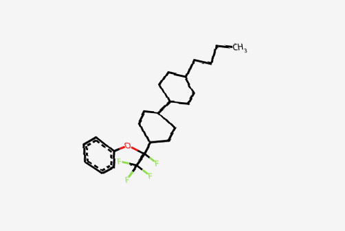 CCCCC1CCC(C2CCC(C(F)(Oc3ccccc3)C(F)(F)F)CC2)CC1